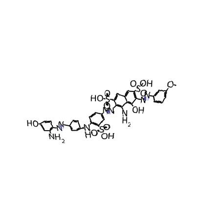 COc1cccc(/N=N/c2c(S(=O)(=O)O)cc3cc(S(=O)(=O)O)c(/N=N/c4ccc(Nc5ccc(/N=N/c6ccc(O)cc6N)cc5)c(S(=O)(=O)O)c4)c(N)c3c2O)c1